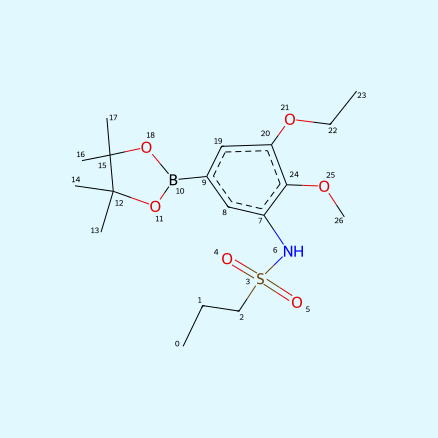 CCCS(=O)(=O)Nc1cc(B2OC(C)(C)C(C)(C)O2)cc(OCC)c1OC